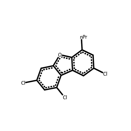 CCCc1cc(Cl)cc2c1oc1cc(Cl)cc(Cl)c12